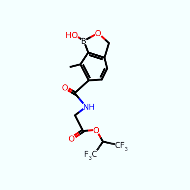 Cc1c(C(=O)NCC(=O)OC(C(F)(F)F)C(F)(F)F)ccc2c1B(O)OC2